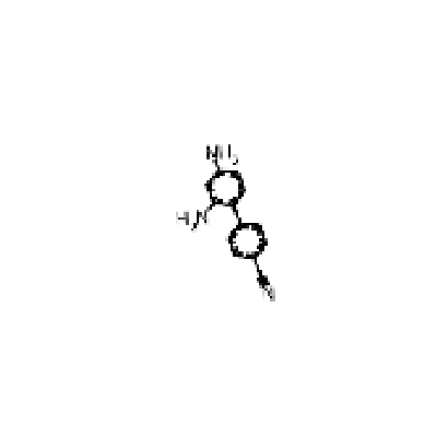 N#Cc1ccc(-c2ccc(N)cc2N)cc1